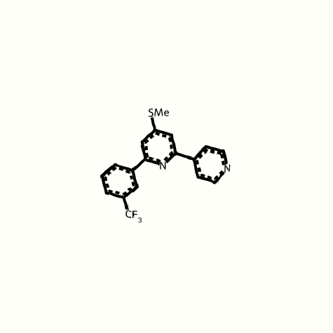 CSc1cc(-c2ccncc2)nc(-c2cccc(C(F)(F)F)c2)c1